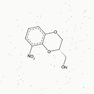 O=[N+]([O-])c1cccc2c1O[C@@H](CO)CO2